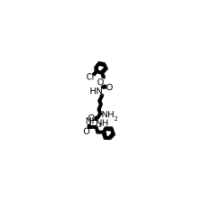 NC(=O)C(Cc1ccccc1)NC(=O)[C@@H](N)CCCCNC(=O)OCc1ccccc1Cl